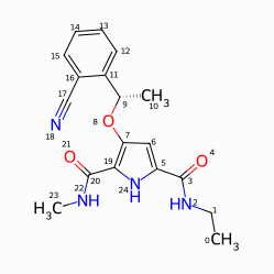 CCNC(=O)c1cc(O[C@@H](C)c2ccccc2C#N)c(C(=O)NC)[nH]1